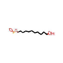 O=POCCCCCCCCCCCO